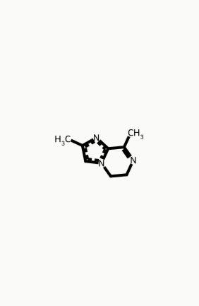 CC1=NCCn2cc(C)nc21